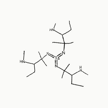 CCC(NC)C(C)(C)[N]=[Ta](=[N]C(C)(C)C(CC)NC)=[N]C(C)(C)C(CC)NC